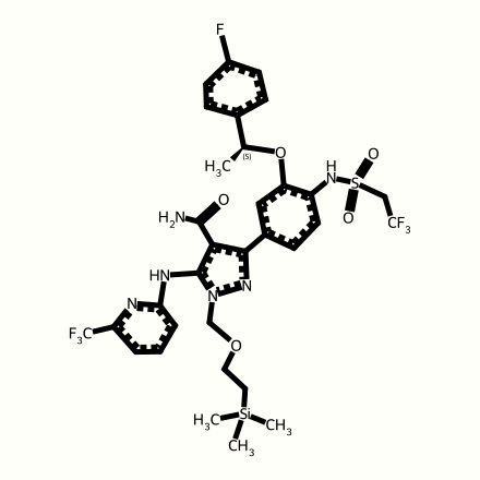 C[C@H](Oc1cc(-c2nn(COCC[Si](C)(C)C)c(Nc3cccc(C(F)(F)F)n3)c2C(N)=O)ccc1NS(=O)(=O)CC(F)(F)F)c1ccc(F)cc1